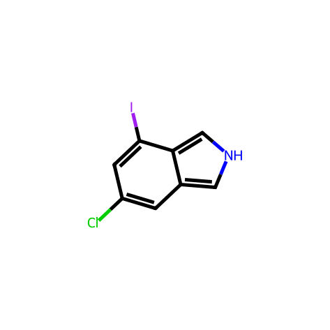 Clc1cc(I)c2c[nH]cc2c1